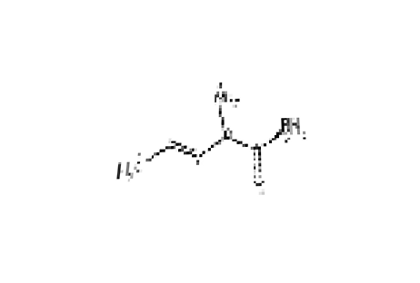 BC(=O)C(N)C=CC